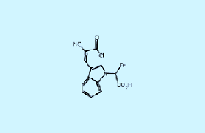 CCC(C(=O)O)n1cc(C=C(C#N)C(=O)Cl)c2ccccc21